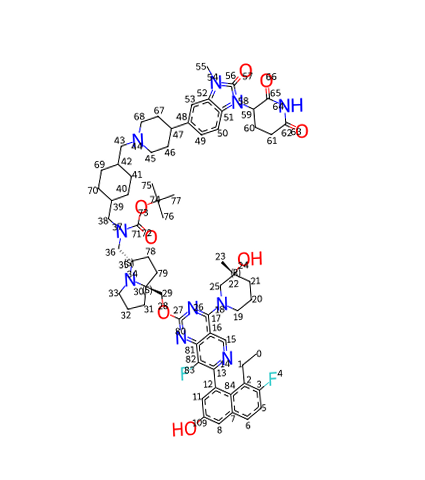 CCc1c(F)ccc2cc(O)cc(-c3ncc4c(N5CCC[C@@](C)(O)C5)nc(OC[C@@]56CCCN5[C@H](CN(CC5CCC(CN7CCC(c8ccc9c(c8)n(C)c(=O)n9C8CCC(=O)NC8=O)CC7)CC5)C(=O)OC(C)(C)C)CC6)nc4c3F)c12